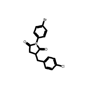 O=C1CC(Cc2ccc(Cl)cc2)C(=O)N1c1ccc(Br)cc1